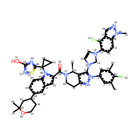 Cc1cc(-n2nc3c(c2N2C=CN(c4ccc5c(cnn5C)c4F)C2)[C@H](C)N(C(=O)c2cc4cc(C5CCOC(C)(C)C5)ccc4n2C2(c4nc(O)ns4)CC2)CC3)cc(C)c1F